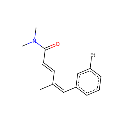 CCc1cccc(C=C(C)C=CC(=O)N(C)C)c1